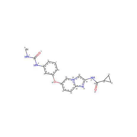 CC(C)NC(=O)Nc1cccc(Oc2ccc3nc(NC(=O)C4CC4)cn3c2)c1